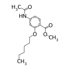 CCCCCCOc1cc(NC(C)=O)ccc1C(=O)OC